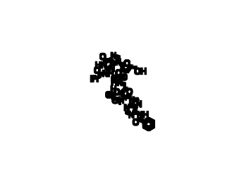 CC(C)C(=O)Nc1nc2c(ncn2[C@@H]2O[C@H](CO)C[C@H]2OS(=O)(=O)NC[C@H]2O[C@@H](n3cnc4c(NC(=O)c5ccccc5)ncnc43)[C@H](F)[C@@H]2O[PH](=O)O)c(=O)[nH]1